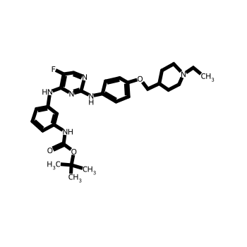 CCN1CCC(COc2ccc(Nc3ncc(F)c(Nc4cccc(NC(=O)OC(C)(C)C)c4)n3)cc2)CC1